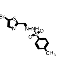 Cc1ccc(S(=O)(=O)NN=Cc2ncc(Br)s2)cc1